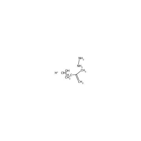 C=C(C)C.CO.Cl.NN.[H+]